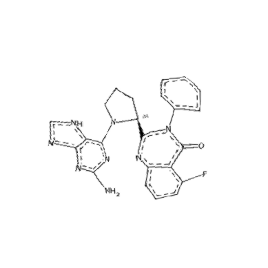 Nc1nc(N2CCC[C@H]2c2nc3cccc(F)c3c(=O)n2-c2ccccc2)c2[nH]cnc2n1